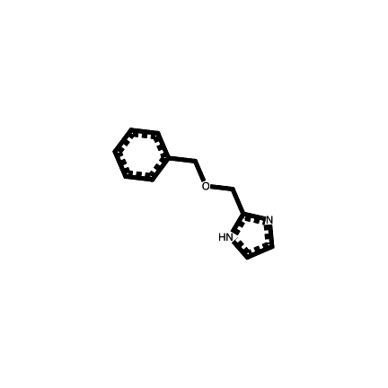 c1ccc(COCc2ncc[nH]2)cc1